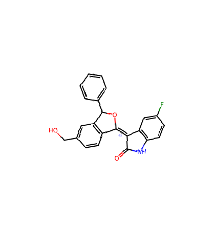 O=C1Nc2ccc(F)cc2/C1=C1\OC(c2ccccc2)c2cc(CO)ccc21